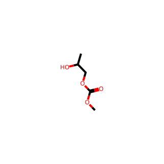 COC(=O)OCC(C)O